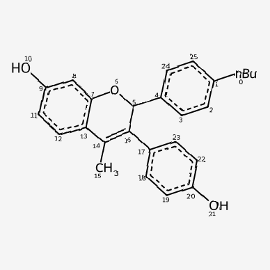 CCCCc1ccc(C2Oc3cc(O)ccc3C(C)=C2c2ccc(O)cc2)cc1